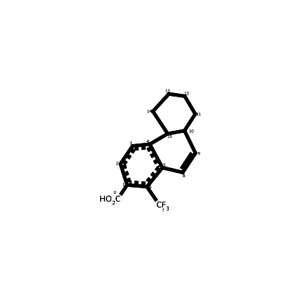 O=C(O)c1ccc2c(c1C(F)(F)F)C=CC1CCCCC21